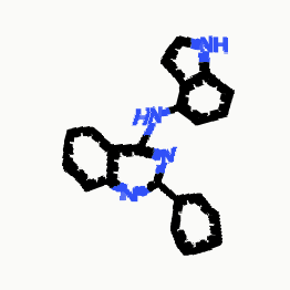 c1ccc(-c2nc(Nc3cccc4[nH]ccc34)c3ccccc3n2)cc1